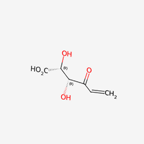 C=CC(=O)[C@H](O)[C@@H](O)C(=O)O